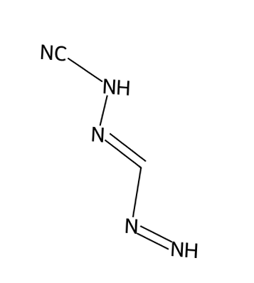 N#CNN=CN=N